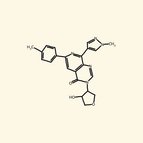 Cc1ccc(-c2cc3c(=O)n(C4COCC4O)cnc3c(-c3cnn(C)c3)n2)cc1